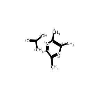 CC(=O)O.Cc1cnc(C)c(C)n1